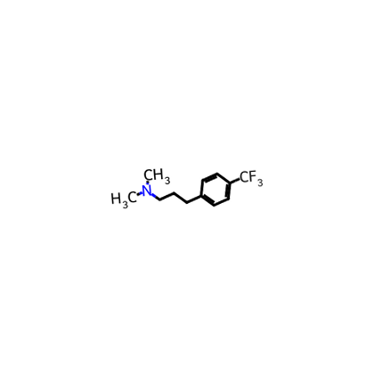 CN(C)CCCc1ccc(C(F)(F)F)cc1